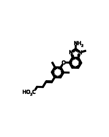 Cc1cc(/C=C/CCC(=O)O)cc(C)c1Oc1cccc2c1nc(N)n2C